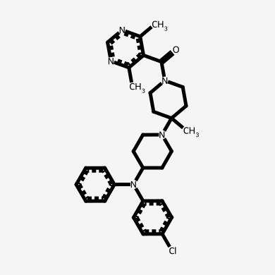 Cc1ncnc(C)c1C(=O)N1CCC(C)(N2CCC(N(c3ccccc3)c3ccc(Cl)cc3)CC2)CC1